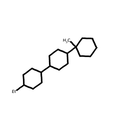 CCC1CCC(C2CCC(C3(C)CC[CH]CC3)CC2)CC1